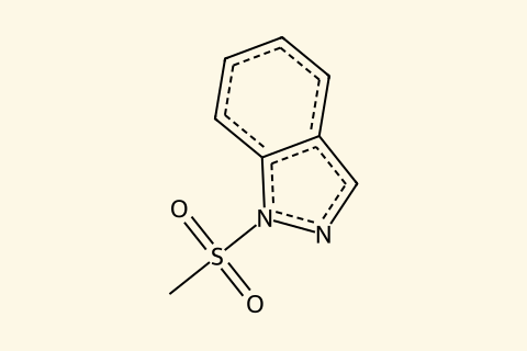 CS(=O)(=O)n1ncc2ccccc21